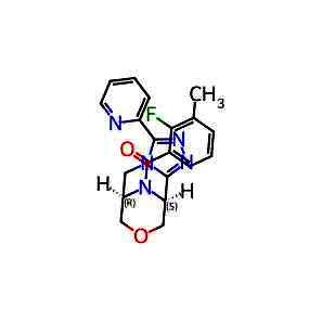 Cc1cccc(C(=O)N2[C@H]3COC[C@@H]2c2nnc(-c4ccccn4)n2C3)c1F